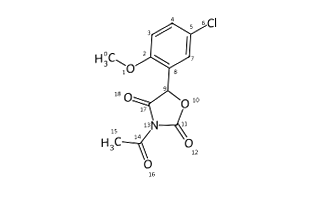 COc1ccc(Cl)cc1C1OC(=O)N(C(C)=O)C1=O